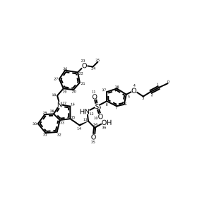 CC#CCOc1ccc(S(=O)(=O)N[C@H](Cc2cn(Cc3ccc(OCC)cc3)c3ccccc23)C(=O)O)cc1